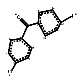 O=C(c1ccc(Cl)cc1)c1ccc(I)cc1